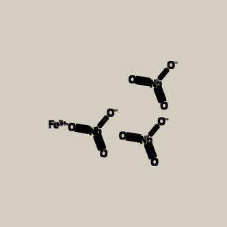 [Fe+3].[O]=[Nb](=[O])[O-].[O]=[Nb](=[O])[O-].[O]=[Nb](=[O])[O-]